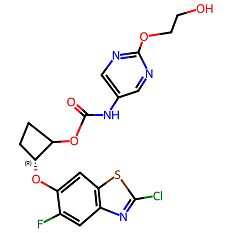 O=C(Nc1cnc(OCCO)nc1)OC1CC[C@H]1Oc1cc2sc(Cl)nc2cc1F